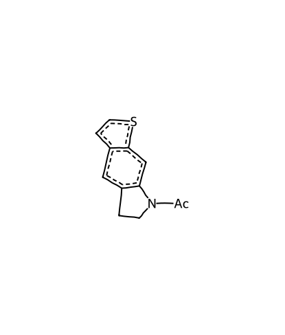 CC(=O)N1CCc2cc3ccsc3cc21